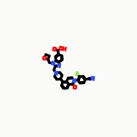 N#Cc1ccc(-n2ccc3c(C4CCN(Cc5nc6ccc(C(=O)O)cc6n5CC5CCO5)CC4)cccc3c2=O)c(F)c1